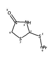 CCCSC1NC(=O)CS1